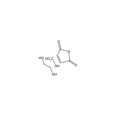 O=C(O)O.O=C1C=CC(=O)O1.OCCO